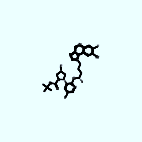 C[C@@H](CCCn1cnc2cnc3cc(F)c(Br)cc3c21)Oc1ncc(F)cc1[C@H]1C[C@H](F)CN1C(=O)OC(C)(C)C